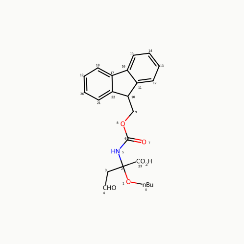 CCCCOC(CC=O)(NC(=O)OCC1c2ccccc2-c2ccccc21)C(=O)O